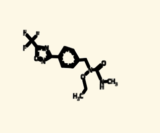 CCON(Cc1ccc(-c2noc(C(F)(F)F)n2)cc1)C(=O)NC